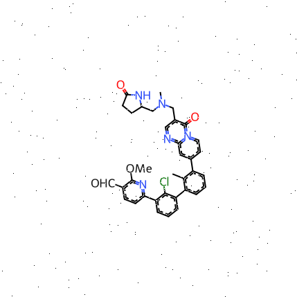 COc1nc(-c2cccc(-c3cccc(-c4ccn5c(=O)c(CN(C)CC6CCC(=O)N6)cnc5c4)c3C)c2Cl)ccc1C=O